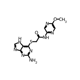 COc1cnc(NC(=O)CSc2nc(N)nc3nc[nH]c23)cn1